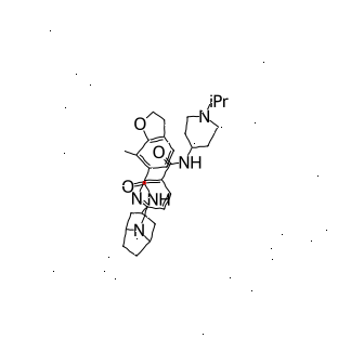 Cc1c(C(=O)NC2CC3CCC(C2)N3c2ccc(C(=O)NC3CCN(C(C)C)CC3)cn2)ccc2c1OCC2